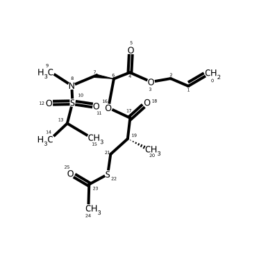 C=CCOC(=O)[C@H](CN(C)S(=O)(=O)C(C)C)OC(=O)[C@H](C)CSC(C)=O